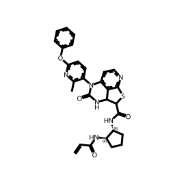 C=CC(=O)N[C@@H]1CCC[C@H]1NC(=O)C1Sc2nccc3c2C1NC(=O)N3c1ccc(Oc2ccccc2)nc1C